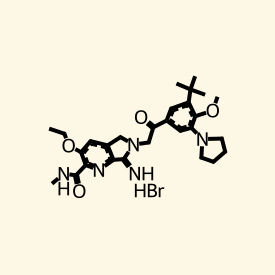 Br.CCOc1cc2c(nc1C(=O)NC)C(=N)N(CC(=O)c1cc(N3CCCC3)c(OC)c(C(C)(C)C)c1)C2